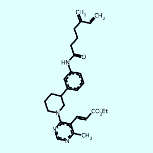 C=CC(=C)CCCC(=O)Nc1cccc(C2CCCN(c3ncnc(C)c3/C=C/C(=O)OCC)C2)c1